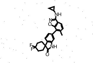 Cc1ccc2c(NC3CC3)noc2c1-c1ccc2c(c1)NC(=O)C21CCC(F)(F)CC1